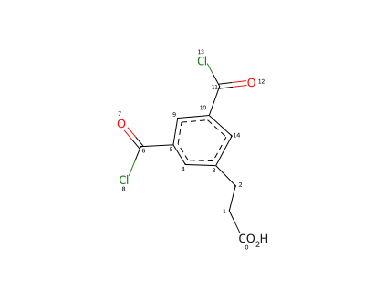 O=C(O)CCc1cc(C(=O)Cl)cc(C(=O)Cl)c1